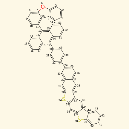 c1ccc2c(c1)oc1cccc(-c3c4ccccc4c(-c4ccc(-c5ccc6cc7c(cc6c5)sc5cc6sc8ccccc8c6cc57)cc4)c4ccccc34)c12